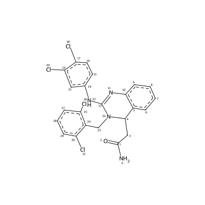 NC(=O)CC1c2ccccc2N=C(Nc2ccc(Cl)c(Cl)c2)N1Cc1c(Cl)cccc1Cl